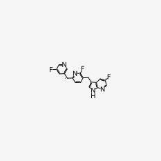 Fc1cncc([CH]c2ccc(Cc3c[nH]c4ncc(F)cc34)c(F)n2)c1